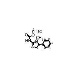 CCCCCCOC(=O)NC1=NCC(c2ccccc2)N1C